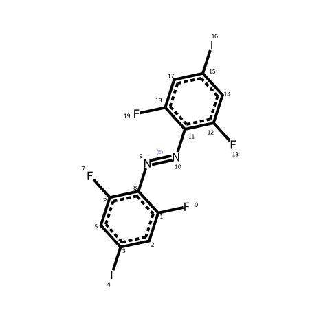 Fc1cc(I)cc(F)c1/N=N/c1c(F)cc(I)cc1F